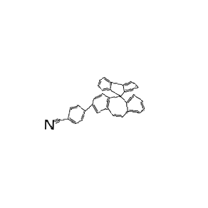 N#Cc1ccc(-c2ccc3c(c2)C=Cc2ccccc2C32c3ccccc3-c3ccccc32)cc1